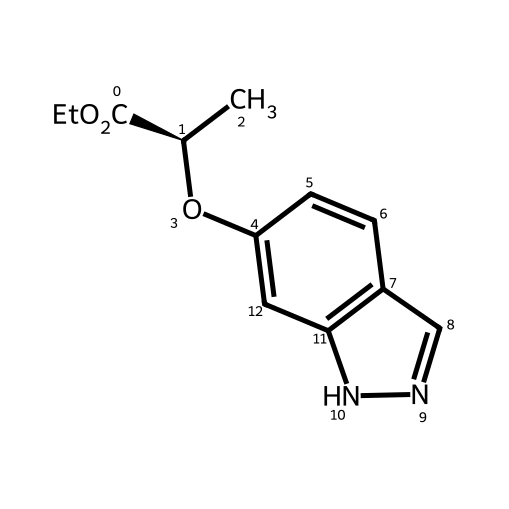 CCOC(=O)[C@@H](C)Oc1ccc2cn[nH]c2c1